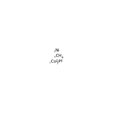 C.[Co].[LiH].[Ni]